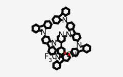 N#Cc1cc(-c2cc(-n3c4cc(-n5c6ccccc6c6ccccc65)ccc4c4ccc(-n5c6ccccc6c6ccccc65)cc43)ncc2-n2c3cc(-n4c5ccccc5c5ccccc54)ccc3c3ccc(-n4c5ccccc5c5ccccc54)cc32)cc(C(F)(F)F)c1